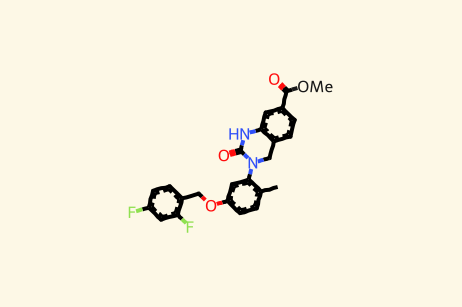 COC(=O)c1ccc2c(c1)NC(=O)N(c1cc(OCc3ccc(F)cc3F)ccc1C)C2